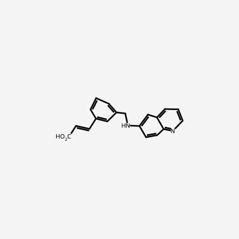 O=C(O)/C=C/c1cccc(CNc2ccc3ncccc3c2)c1